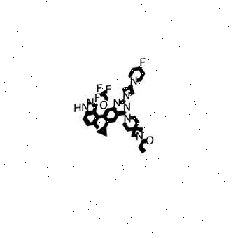 C=CC(=O)N1CC2(CCN(c3nc(N4CC(N5CCC(F)CC5)C4)nc4c(OCC(F)(F)F)c(-c5c(C)ccc6[nH]ncc56)c(C5CC5)cc34)CC2)C1